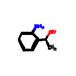 C[C@H](O)c1ccccc1N